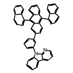 c1cc(-c2ccc3c(-c4cccc5ccccc45)c4ccccc4c(-c4cccc5ccccc45)c3c2)cc(-n2c3ccccc3c3cccnc32)c1